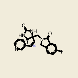 O=C1NC(=O)C(/C=C\c2cccnc2)(CN2Cc3ccc(F)cc3C2=O)N1